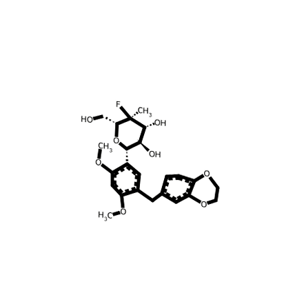 COc1cc(OC)c([C@@H]2O[C@H](CO)[C@@](C)(F)[C@H](O)[C@H]2O)cc1Cc1ccc2c(c1)OCCO2